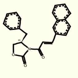 O=C(C=Cc1ccc2ccccc2c1)N1C(=O)OC[C@H]1Cc1ccccc1